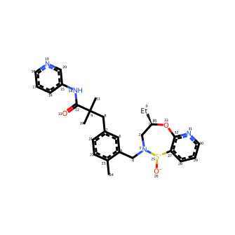 CC[C@@H]1CN(Cc2cc(CC(C)(C)C(=O)Nc3cccnc3)ccc2C)[S+]([O-])c2cccnc2O1